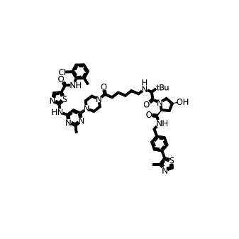 Cc1nc(Nc2ncc(C(=O)Nc3c(C)cccc3Cl)s2)cc(N2CCN(C(=O)CCCCCNC(C(=O)N3C[C@H](O)C[C@H]3C(=O)NCc3ccc(-c4scnc4C)cc3)C(C)(C)C)CC2)n1